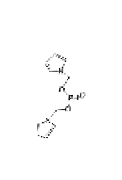 O=[PH](OCn1cccc1)OCn1cccc1